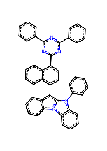 c1ccc(-c2nc(-c3ccccc3)nc(-c3ccc(-c4c5ccccc5n5c6ccccc6n(-c6ccccc6)c45)c4ccccc34)n2)cc1